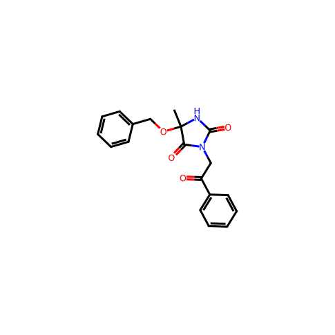 CC1(OCc2ccccc2)NC(=O)N(CC(=O)c2ccccc2)C1=O